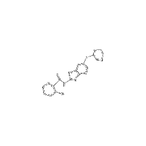 O=C(Nc1nc2ccc(Sc3ccccc3)cc2s1)c1ncccc1O